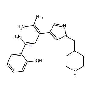 NC(N)=C(/C=C(\N)c1ccccc1O)c1cnn(CC2CCNCC2)c1